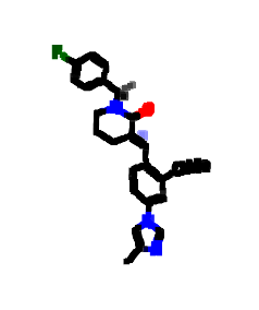 COc1cc(-n2cnc(C)c2)ccc1/C=C1\CCCN([C@@H](C)c2ccc(F)cc2)C1=O